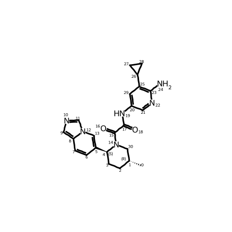 C[C@@H]1CC[C@@H](c2ccc3cncn3c2)N(C(=O)C(=O)Nc2cnc(N)c(C3CC3)c2)C1